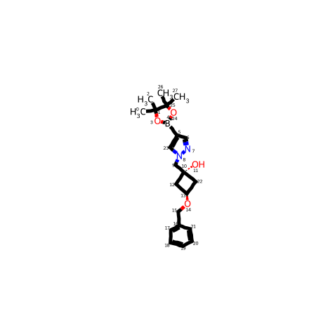 CC1(C)OB(c2cnn(C[C@]3(O)C[C@H](OCc4ccccc4)C3)c2)OC1(C)C